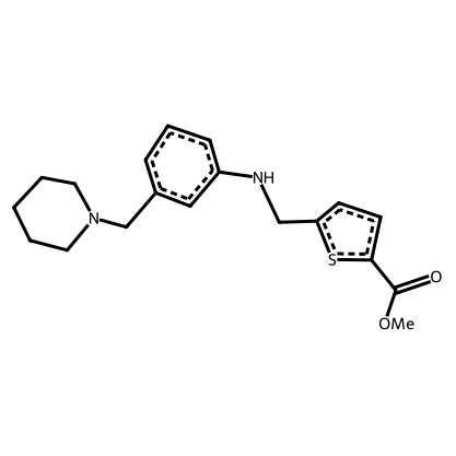 COC(=O)c1ccc(CNc2cccc(CN3CCCCC3)c2)s1